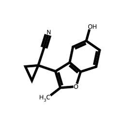 Cc1oc2ccc(O)cc2c1C1(C#N)CC1